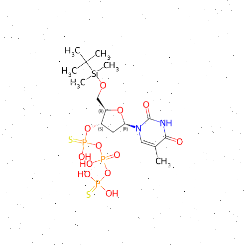 Cc1cn([C@H]2C[C@H](OP(O)(=S)OP(=O)(O)OP(O)(O)=S)[C@@H](CO[Si](C)(C)C(C)(C)C)O2)c(=O)[nH]c1=O